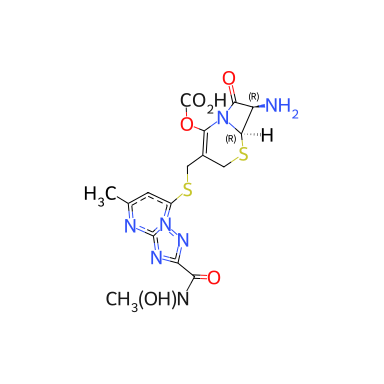 Cc1cc(SCC2=C(OC(=O)O)N3C(=O)[C@@H](N)[C@H]3SC2)n2nc(C(=O)N(C)O)nc2n1